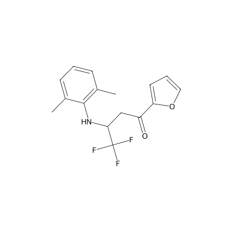 Cc1cccc(C)c1NC(CC(=O)c1ccco1)C(F)(F)F